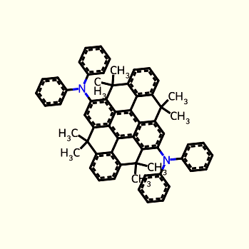 CC1(C)c2cccc3c2-c2c4c1cc(N(c1ccccc1)c1ccccc1)c1c4c4c5c(cc(N(c6ccccc6)c6ccccc6)c(c25)C3(C)C)C(C)(C)c2cccc(c2-4)C1(C)C